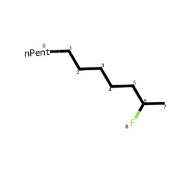 CCCCCCCCCCC(C)F